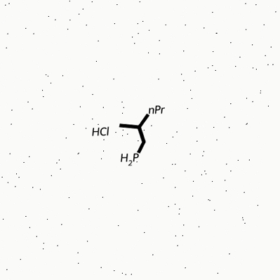 CCCC(C)CP.Cl